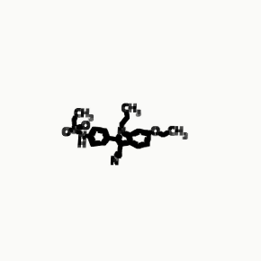 CCCn1c(-c2ccc(NS(=O)(=O)CC)cc2)c(C#N)c2ccc(OCC)cc21